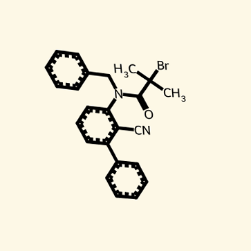 CC(C)(Br)C(=O)N(Cc1ccccc1)c1cccc(-c2ccccc2)c1C#N